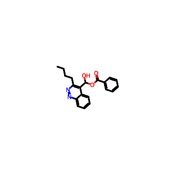 CCCCc1nnc2ccccc2c1C(O)OC(=O)c1ccccc1